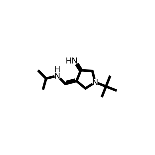 CC(C)N/C=C1/CN(C(C)(C)C)CC1=N